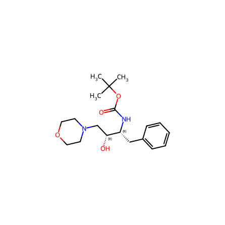 CC(C)(C)OC(=O)N[C@H](Cc1ccccc1)[C@H](O)CN1CCOCC1